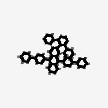 c1ccc(-c2cccc(-c3ccccc3)c2-c2ccc3c(-c4ccc(-c5ccncc5)cc4)c4ccccc4c(-c4ccc(-c5ccncc5)cc4)c3c2)cc1